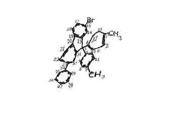 CC1=CC=C(C2(c3ccc(C)cc3)c3cc(Br)ccc3-c3ccc(-c4ccccc4)cc32)CC1